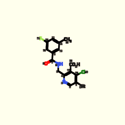 CCc1cnc(CNC(=O)c2cc(C)cc(F)c2)c(C(=O)O)c1Cl